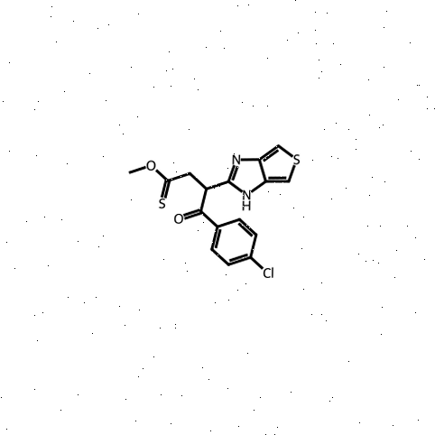 COC(=S)CC(C(=O)c1ccc(Cl)cc1)c1nc2cscc2[nH]1